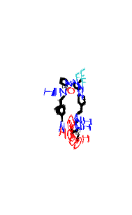 N#Cc1ccc(CCNC(=O)[C@@H]2CCCN2c2cc(N3CCC(CCNC(=O)N[C@H](CC(=O)O)C(=O)O)CC3)nc(C(F)(F)F)n2)cc1